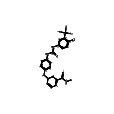 CNC(=O)C1=NC=CC(Oc2ccc(NC(=O)Nc3ccc(Cl)c(C(F)(F)F)c3)cc2)C1